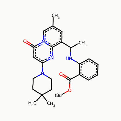 Cc1cc(C(C)Nc2ccccc2C(=O)OC(C)(C)C)c2nc(N3CCC(C)(C)CC3)cc(=O)n2c1